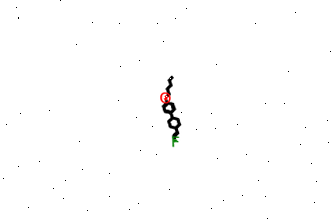 CCCCCOc1ccc(C2CCC(C=CF)CC2)cc1